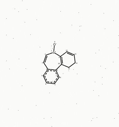 [O-][S+]1C=Cc2ccccc2C2=C1C=CCC2